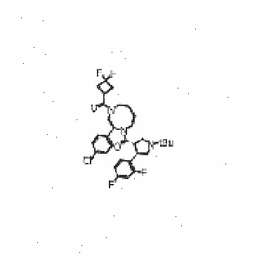 CC(C)(C)N1C[C@@H](C(=O)N2CCCCN(C(=O)C3CC(F)(F)C3)C[C@@H]2c2ccc(Cl)cc2)[C@H](c2ccc(F)cc2F)C1